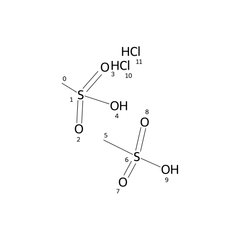 CS(=O)(=O)O.CS(=O)(=O)O.Cl.Cl